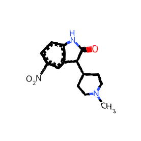 CN1CCC(C2C(=O)Nc3ccc([N+](=O)[O-])cc32)CC1